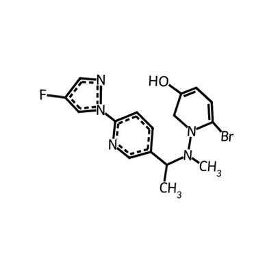 CC(c1ccc(-n2cc(F)cn2)nc1)N(C)N1CC(O)=CC=C1Br